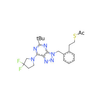 CC(=O)SCCc1ccccc1Cn1nnc2c(N3CCC(F)(F)C3)nc(C(C)(C)C)nc21